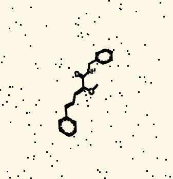 COC(=CC=Cc1ccccc1)C(=O)NCc1ccccc1